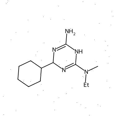 CCN(C)C1=NC(C2CCCCC2)N=C(N)N1